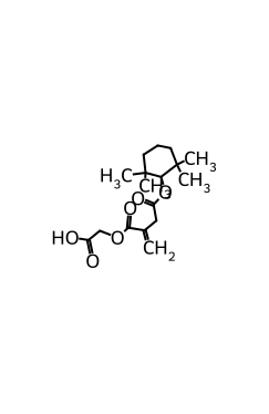 C=C(CC(=O)OC1C(C)(C)CCCC1(C)C)C(=O)OCC(=O)O